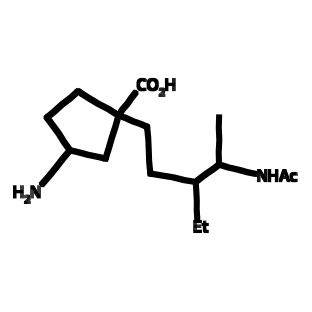 CCC(CCC1(C(=O)O)CCC(N)C1)C(C)NC(C)=O